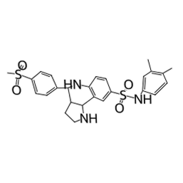 Cc1ccc(NS(=O)(=O)c2ccc3c(c2)C2NCCC2C(c2ccc(S(C)(=O)=O)cc2)N3)cc1C